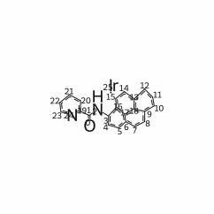 O=C(Nc1ccc2ccc3cccc4ccc1c2c34)c1ccccn1.[Ir]